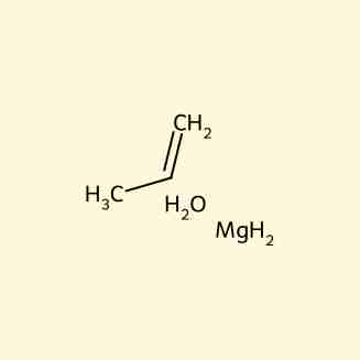 C=CC.O.[MgH2]